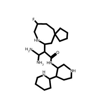 NC(N)C(C(=O)NC1CNCCC1C1CCCCN1)C1CC2(CCCC2)CCC(F)CN1